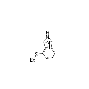 CCSc1cccc2c1C1NC2N1